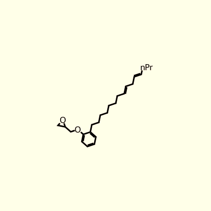 CCCC=CCC=CCCCCCCCc1ccccc1OCC1CO1